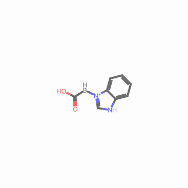 O=C(O)B[n+]1c[nH]c2ccccc21